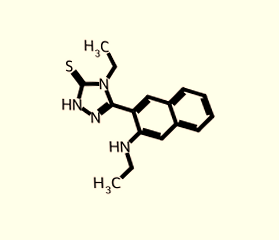 CCNc1cc2ccccc2cc1-c1n[nH]c(=S)n1CC